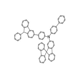 c1ccc(-c2ccc(N(c3ccc(-c4ccc5c(c4)-c4ccccc4C5c4ccccc4)cc3)c3ccc4c(c3)C3(c5ccccc5-c5ccccc53)c3ccccc3-4)cc2)cc1